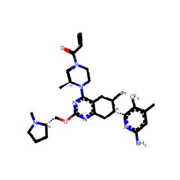 C=CC(=O)N1CCN(c2nc(OC[C@@H]3CCCN3C)nc3c2CC(C(C)C)[C@H](c2nc(N)cc(C)c2C(F)(F)F)C3)[C@@H](C)C1